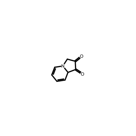 O=C1CN2C=CC=CC2C1=O